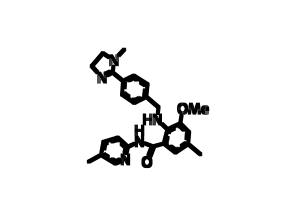 COc1cc(C)cc(C(=O)Nc2ccc(C)cn2)c1NCc1ccc(C2=NCCN2C)cc1